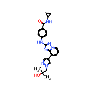 CC(C)(O)Cn1cc(-c2cccn3nc(Nc4ccc(C(=O)NC5CC5)cc4)nc23)cn1